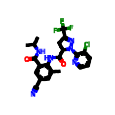 Cc1cc(C#N)cc(C(=O)NC(C)C)c1NC(=O)C1CC(C(F)(F)F)=NN1c1ncccc1Cl